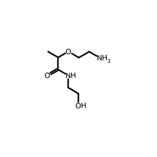 CC(OCCN)C(=O)NCCO